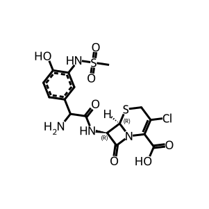 CS(=O)(=O)Nc1cc(C(N)C(=O)N[C@@H]2C(=O)N3C(C(=O)O)=C(Cl)CS[C@H]23)ccc1O